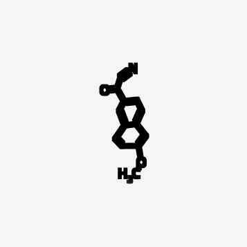 COc1ccc2cc(C(=O)C#N)ccc2c1